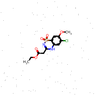 CCOC(=O)CC1=NS(=O)(=O)c2cc(OC)c(Cl)cc2N1